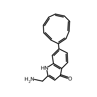 NCc1cc(=O)c2ccc(-c3ccccccccc3)cc2[nH]1